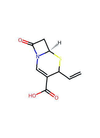 C=CC1S[C@@H]2CC(=O)N2C=C1C(=O)O